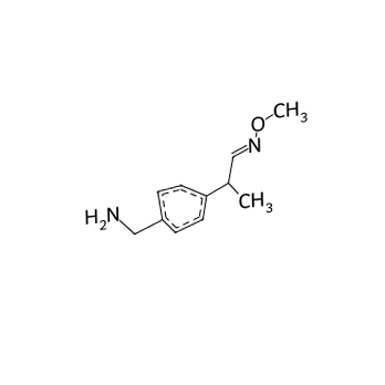 CON=CC(C)c1ccc(CN)cc1